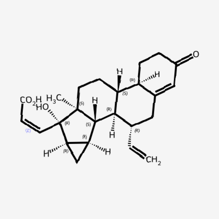 C=C[C@H]1CC2=CC(=O)CC[C@@H]2[C@H]2CC[C@@]3(C)[C@@H]([C@H]4C[C@H]4[C@@]3(O)/C=C\C(=O)O)[C@@H]21